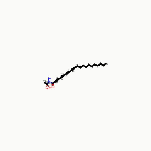 CCCCCCCCCCCC#CC#CC#CC#CC(=O)NC(C)O